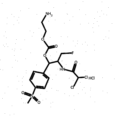 CS(=O)(=O)c1ccc(C(OC(=O)OCCN)C(CF)NC(=O)C(Cl)Cl)cc1.Cl